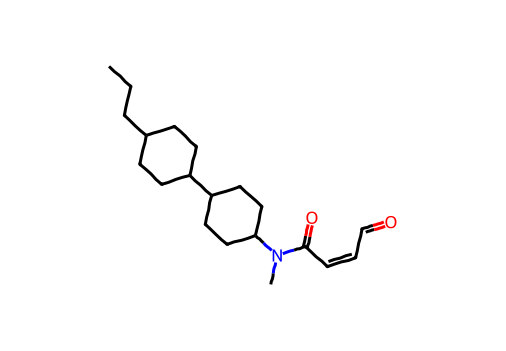 CCCC1CCC(C2CCC(N(C)C(=O)/C=C\C=O)CC2)CC1